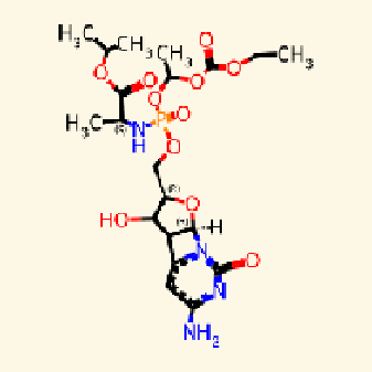 CCOC(=O)OC(C)OP(=O)(N[C@@H](C)C(=O)OC(C)C)OC[C@H]1O[C@@H]2C(c3cc(N)nc(=O)n32)C1O